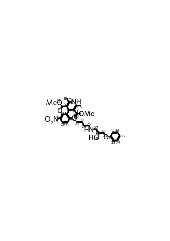 COC(=O)C1=C(C)NC(C)=C(C(=O)OC)C1c1cc([N+](=O)[O-])ccc1OCCCCNC[C@@H](O)COc1ccccc1